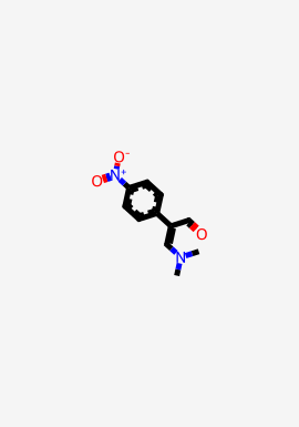 CN(C)C=C(C=O)c1ccc([N+](=O)[O-])cc1